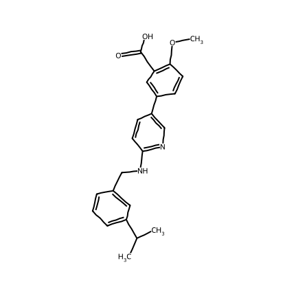 COc1ccc(-c2ccc(NCc3cccc(C(C)C)c3)nc2)cc1C(=O)O